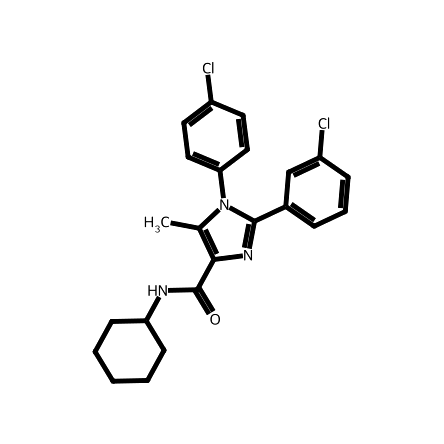 Cc1c(C(=O)NC2CCCCC2)nc(-c2cccc(Cl)c2)n1-c1ccc(Cl)cc1